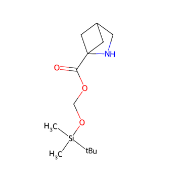 CC(C)(C)[Si](C)(C)OCOC(=O)C12CC(CN1)C2